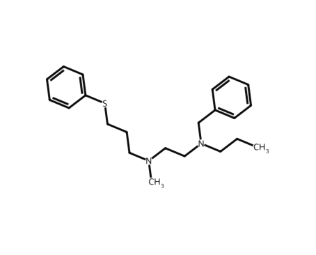 CCCN(CCN(C)CCCSc1ccccc1)Cc1ccccc1